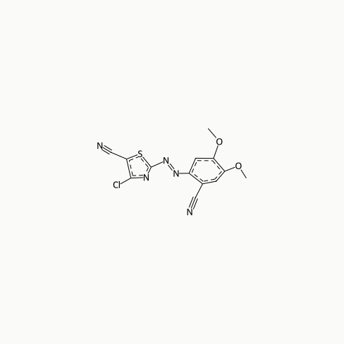 COc1cc(C#N)c(N=Nc2nc(Cl)c(C#N)s2)cc1OC